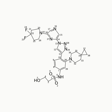 O=S(=O)(CCO)Nc1ccc(-c2cn(-c3cncc(N4CCC(F)(F)CC4)n3)nn2)c(N2CCC3(CC2)CC3)c1